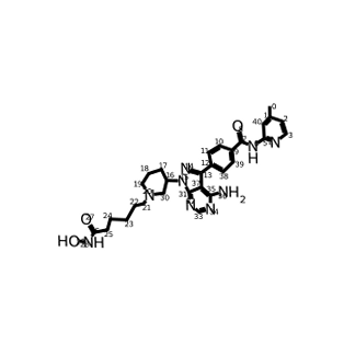 Cc1ccnc(NC(=O)c2ccc(-c3nn(C4CCCN(CCCCCC(=O)NO)C4)c4ncnc(N)c34)cc2)c1